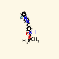 CC(C)OCC(=O)N[C@H]1CC[C@H](CCN2CCN(c3ccccc3F)CC2)CC1